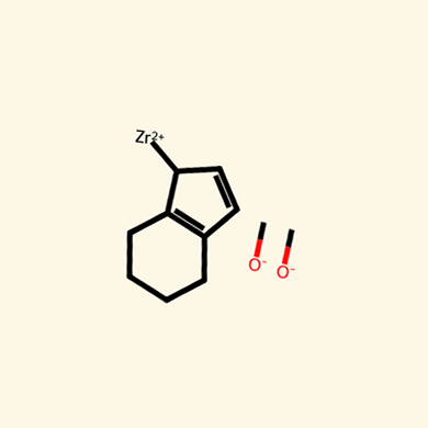 C[O-].C[O-].[Zr+2][CH]1C=CC2=C1CCCC2